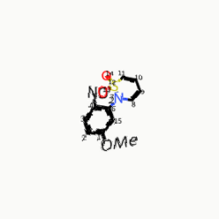 COc1ccc([N+](=O)[O-])c(N2C=CC=CS2(=O)=O)c1